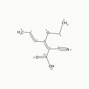 CC=CC(OCC)=C(C#N)C(=O)O